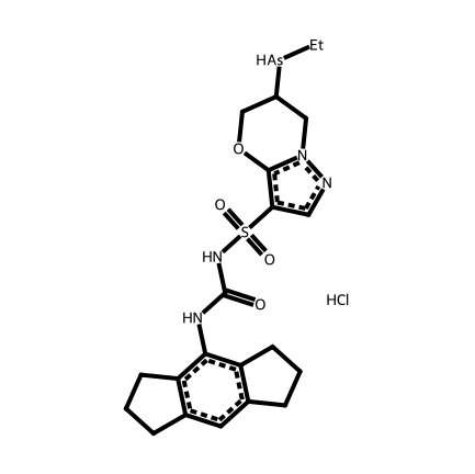 CC[AsH]C1COc2c(S(=O)(=O)NC(=O)Nc3c4c(cc5c3CCC5)CCC4)cnn2C1.Cl